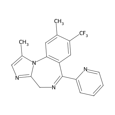 Cc1cc2c(cc1C(F)(F)F)C(c1ccccn1)=NCc1ncc(C)n1-2